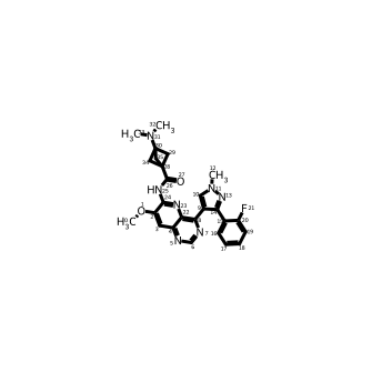 COc1cc2ncnc(-c3cn(C)nc3-c3ccccc3F)c2nc1NC(=O)C12CC(N(C)C)(C1)C2